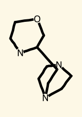 C1COCC(C2CN3CCN2CC3)[N]1